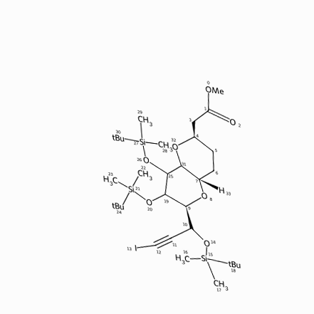 COC(=O)C[C@H]1CC[C@@H]2O[C@@H](C(C#CI)O[Si](C)(C)C(C)(C)C)C(O[Si](C)(C)C(C)(C)C)C(O[Si](C)(C)C(C)(C)C)C2O1